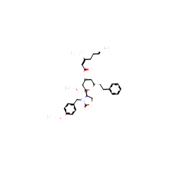 C=CCCC(C)=CC(=O)O[C@@H]1C[C@@H](CCc2ccccc2)O[C@@](OC)(C2CSC(=O)N2Cc2ccc(OC)cc2)C1